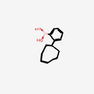 OB(O)c1ccccc1C1CCCCCC1